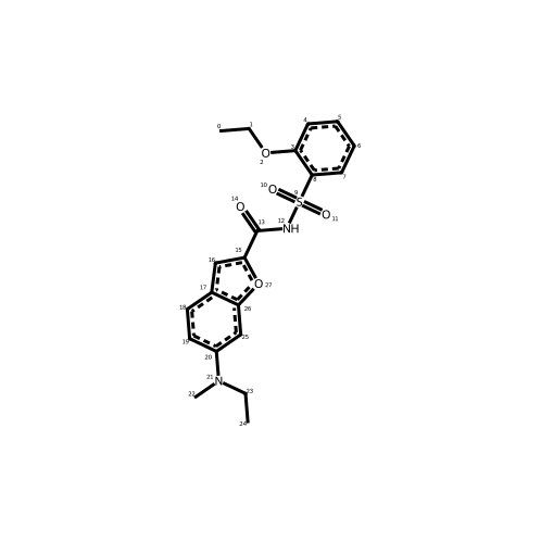 CCOc1ccccc1S(=O)(=O)NC(=O)c1cc2ccc(N(C)CC)cc2o1